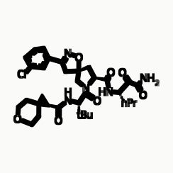 CCC[C@H](NC(=O)[C@@H]1C[C@]2(CC(c3cccc(Cl)c3)=NO2)CN1C(=O)[C@@H](NC(=O)[C@@H]1CC12CCOCC2)C(C)(C)C)C(=O)C(N)=O